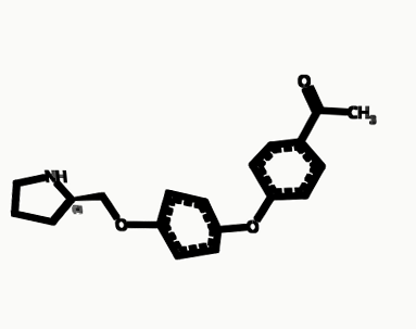 CC(=O)c1ccc(Oc2ccc(OC[C@H]3CCCN3)cc2)cc1